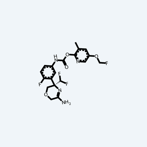 Cc1cc(OCF)cnc1OC(=O)Nc1ccc(F)c([C@]2(C(F)F)COCC(N)=N2)c1